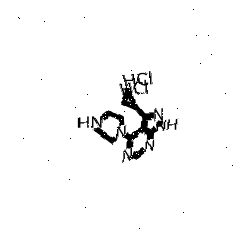 Cl.Cl.c1nc(N2CCNCC2)c2c(C3CC3)n[nH]c2n1